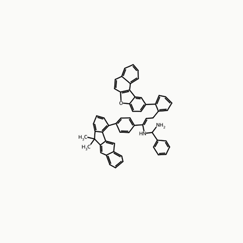 CC1(C)c2cc3ccccc3cc2-c2c(-c3ccc(/C(=C/Cc4ccccc4-c4ccc5oc6ccc7ccccc7c6c5c4)NC(N)c4ccccc4)cc3)cccc21